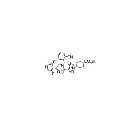 CCOC(=O)C1CCC(n2ncc(C(=O)N(CC(=O)c3c(Cl)cncc3Cl)Cc3ccccc3C#N)c2C(F)(F)F)CC1